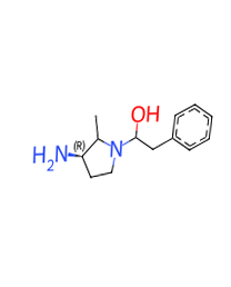 CC1[C@H](N)CCN1C(O)Cc1ccccc1